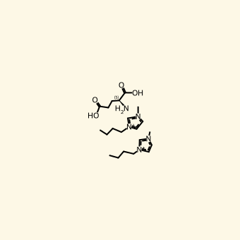 CCCC[n+]1ccn(C)c1.CCCC[n+]1ccn(C)c1.N[C@@H](CCC(=O)O)C(=O)O